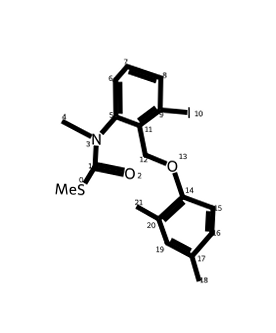 CSC(=O)N(C)c1cccc(I)c1COc1ccc(C)cc1C